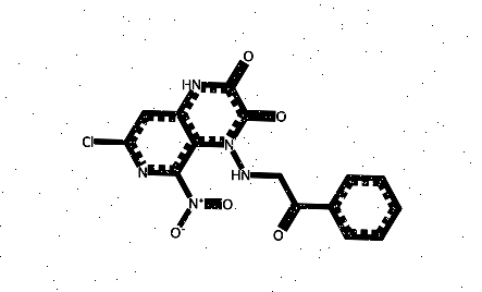 O=C(CNn1c(=O)c(=O)[nH]c2cc(Cl)nc([N+](=O)[O-])c21)c1ccccc1